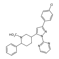 O=C(O)N1CC(c2cc(-c3ccc(Cl)cc3)nn2-c2ncccn2)CCC1c1ccccc1